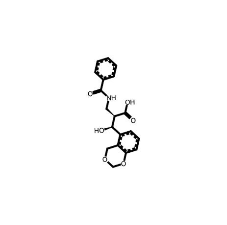 O=C(NC[C@@H](C(=O)O)[C@H](O)c1cccc2c1COCO2)c1ccccc1